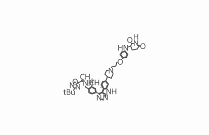 C=C(NCc1ccc(-c2ncnc3[nH]c4cc(C5CCN(CCCOc6ccc(NC7CCC(=O)NC7=O)cc6)CC5)ccc4c23)cc1C)c1nc(C(C)(C)C)no1